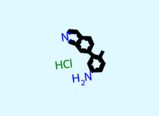 Cc1ccc(N)cc1-c1ccc2ccncc2c1.Cl